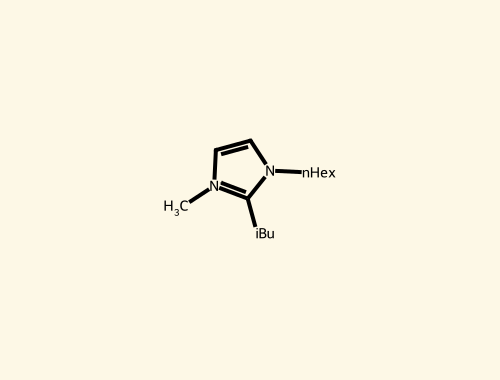 CCCCCCn1cc[n+](C)c1C(C)CC